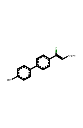 CCCCCC=C(F)c1ccc(-c2ccc(CCC)cc2)cc1